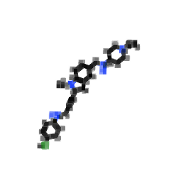 CCn1c(C#CCNc2ccc(Cl)cc2)cc2cc(CNC3CCN(C)CC3)ccc21